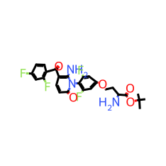 CC(C)(C)OC(=O)C(N)CCOc1cc(F)c(-n2c(N)c(C(=O)c3ccc(F)cc3F)ccc2=O)c(F)c1